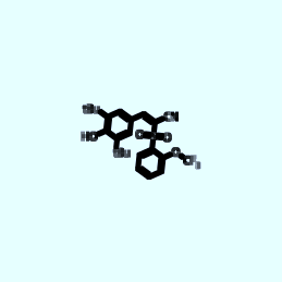 CC(C)(C)c1cc(C=C(C#N)S(=O)(=O)c2ccccc2OC(F)(F)F)cc(C(C)(C)C)c1O